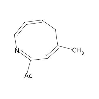 CC(=O)C1=N/C=C=CC/C(C)=C\1